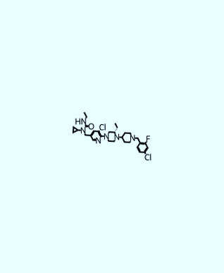 CCNC(=O)N(Cc1cnc(N2CCN(C3CCN(Cc4ccc(Cl)cc4F)CC3)[C@@H](CC)C2)c(Cl)c1)C1CC1